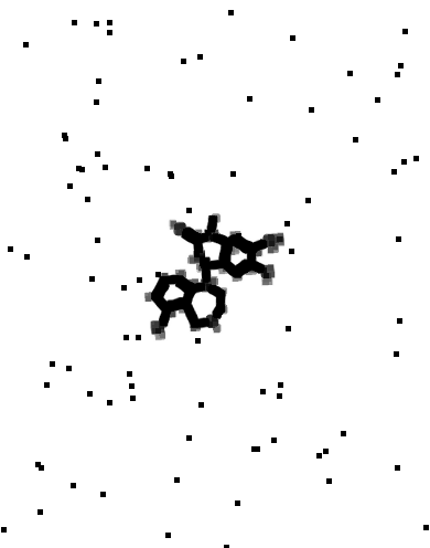 Cn1c(=O)nc(N2CCOCc3c(Br)cccc32)c2cc(Cl)c(O)cc21